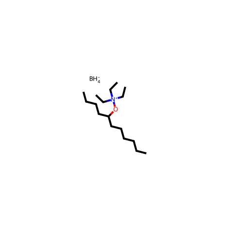 CCCCCCC(CCCC)O[N+](CC)(CC)CC.[BH4-]